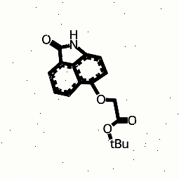 CC(C)(C)OC(=O)COc1ccc2c3c(cccc13)C(=O)N2